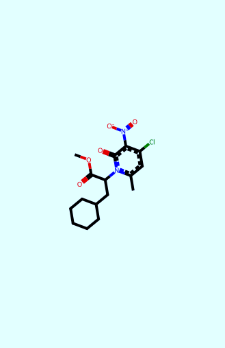 COC(=O)C(CC1CCCCC1)n1c(C)cc(Cl)c([N+](=O)[O-])c1=O